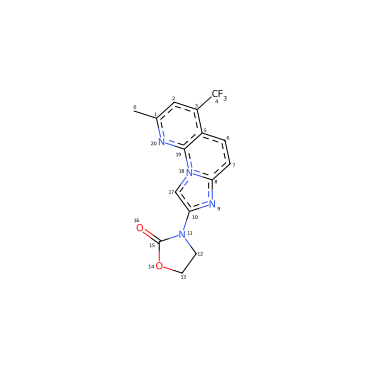 Cc1cc(C(F)(F)F)c2ccc3nc(N4CCOC4=O)cn3c2n1